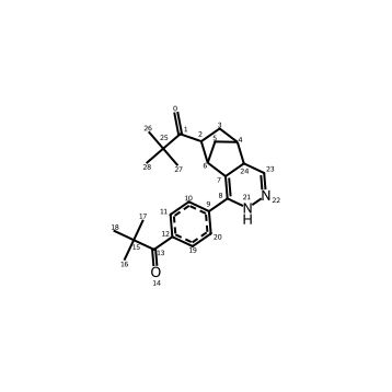 C=C(C1CC2CC1C1=C(c3ccc(C(=O)C(C)(C)C)cc3)NN=CC12)C(C)(C)C